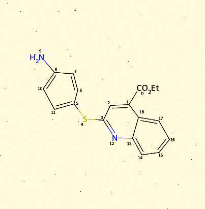 CCOC(=O)c1cc(Sc2ccc(N)cc2)nc2ccccc12